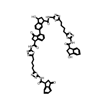 O=C1CC(C(=O)Nc2nnc(CCCCc3nnc(NC(=O)C4CC(=O)c5c(-c6ccc7c(c6)C(C(=O)Nc6nnc(CCCCc8nnc(NC(=O)C9CC(O)c%10ccccc%109)s8)s6)CC7O)cccc54)s3)s2)c2ccccc21